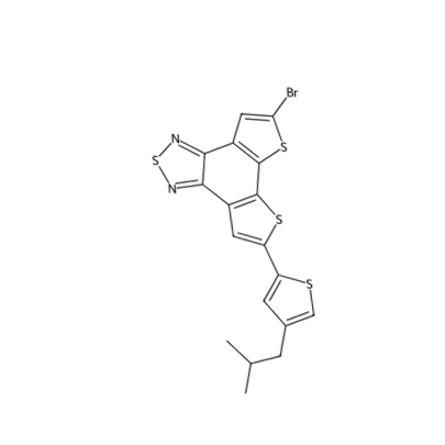 CC(C)Cc1csc(-c2cc3c4nsnc4c4cc(Br)sc4c3s2)c1